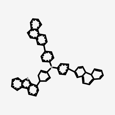 C1=CC2=CC=C3C=C(c4ccc(N(C5=CCC(c6cccc7c6sc6ccccc67)C=C5)c5ccc(-c6ccc7c(ccc8ccccc87)c6)cc5)cc4)C=CC3C2C=C1